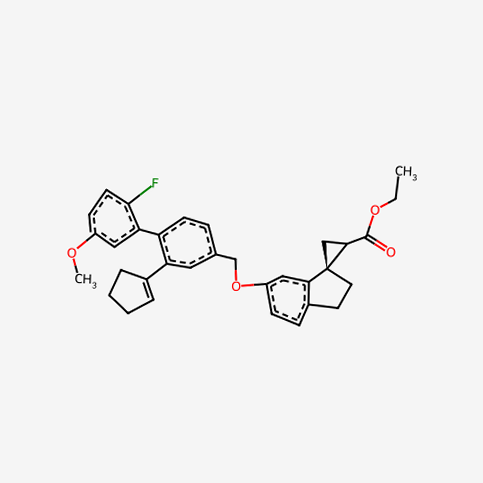 CCOC(=O)C1C[C@]12CCc1ccc(OCc3ccc(-c4cc(OC)ccc4F)c(C4=CCCC4)c3)cc12